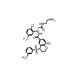 Cc1cccc(S(=O)(=O)N2CCOc3ccc(C(=O)N[C@@H](CC(=O)NCCN)c4cc(C(F)(F)F)ccc4Cl)cc32)c1.Cl